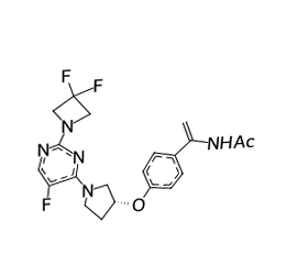 C=C(NC(C)=O)c1ccc(O[C@@H]2CCN(c3nc(N4CC(F)(F)C4)ncc3F)C2)cc1